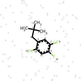 CC(C)(C)Cc1cc(F)c(F)cc1F